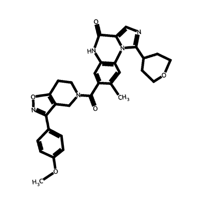 COc1ccc(-c2noc3c2CN(C(=O)c2cc4[nH]c(=O)c5cnc(C6CCOCC6)n5c4cc2C)CC3)cc1